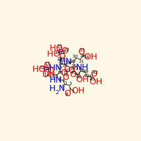 N[C@@H](CC(=O)O)C(=O)N[C@@H](COP(=O)(O)O)C(=O)N[C@@H](COP(=O)(O)O)C(=O)N[C@@H](CCC(=O)O)C(=O)N[C@@H](CCC(=O)O)C(=O)O